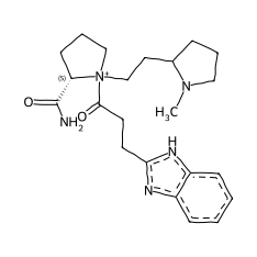 CN1CCCC1CC[N+]1(C(=O)CCc2nc3ccccc3[nH]2)CCC[C@H]1C(N)=O